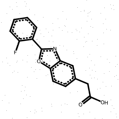 O=C(O)Cc1ccc2oc(-c3ccccc3F)nc2c1